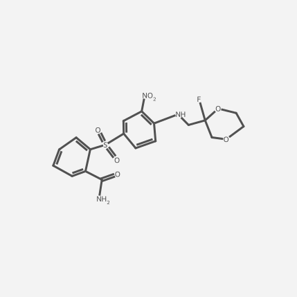 NC(=O)c1ccccc1S(=O)(=O)c1ccc(NCC2(F)COCCO2)c([N+](=O)[O-])c1